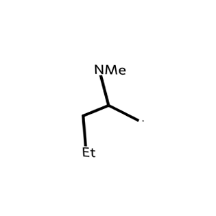 [CH2]C(CCC)NC